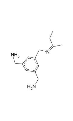 CCC(C)=NCc1cc(CN)cc(CN)c1